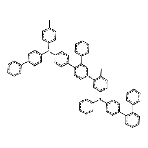 Cc1ccc(N(c2ccc(-c3ccccc3)cc2)c2ccc(-c3ccc(-c4cc(N(c5ccccc5)c5ccc(-c6ccccc6-c6ccccc6)cc5)ccc4C)cc3-c3ccccc3)cc2)cc1